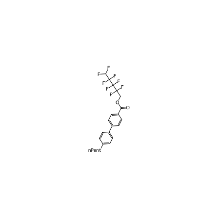 CCCCCc1ccc(-c2ccc(C(=O)OCC(F)(F)C(F)(F)C(F)(F)C(F)F)cc2)cc1